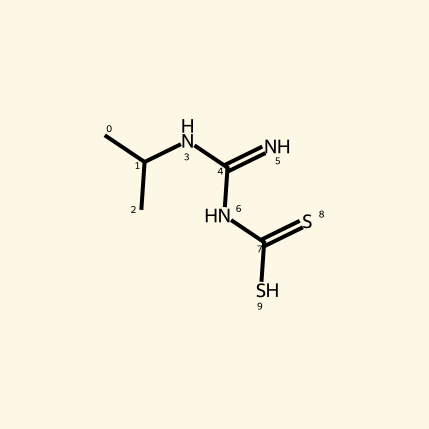 CC(C)NC(=N)NC(=S)S